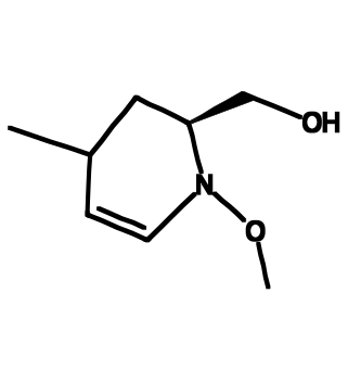 CON1C=CC(C)C[C@H]1CO